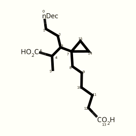 CCCCCCCCCCCCC(C(C)C(=O)O)C1(CCCCCC(=O)O)CC1